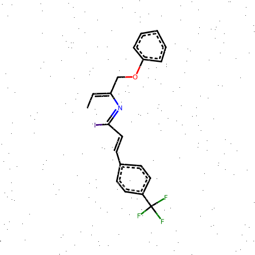 C\C=C(COc1ccccc1)/N=C(I)/C=C/c1ccc(C(F)(F)F)cc1